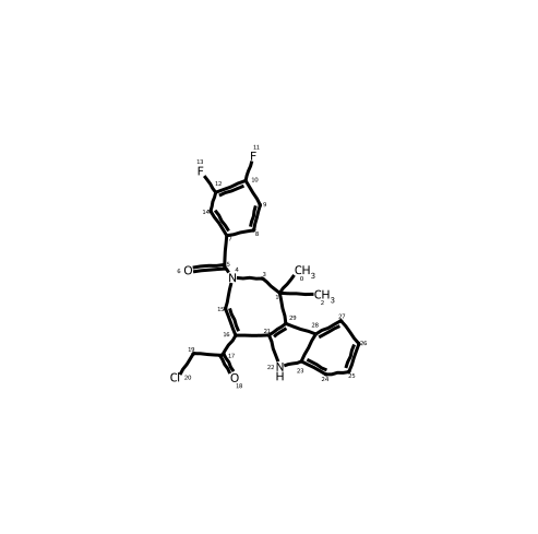 CC1(C)CN(C(=O)c2ccc(F)c(F)c2)C=C(C(=O)CCl)c2[nH]c3ccccc3c21